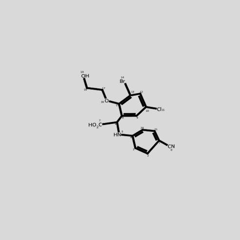 N#Cc1ccc(NC(C(=O)O)c2cc(Cl)cc(Br)c2OCCO)cc1